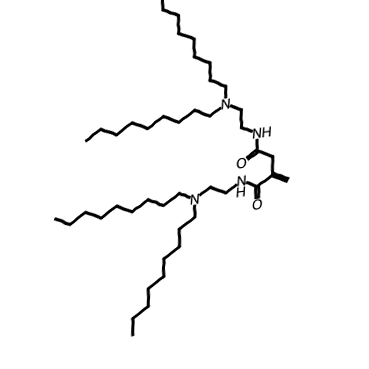 C=C(CC(=O)NCCN(CCCCCCCCC)CCCCCCCCC)C(=O)NCCN(CCCCCCCCC)CCCCCCCCC